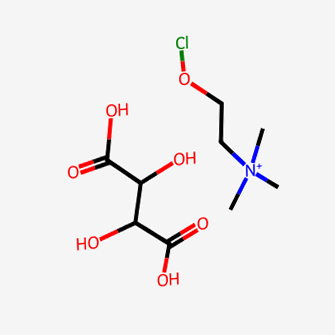 C[N+](C)(C)CCOCl.O=C(O)C(O)C(O)C(=O)O